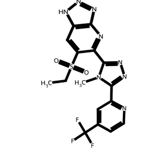 CCS(=O)(=O)c1cc2[nH]nnc2nc1-c1nnc(-c2cc(C(F)(F)F)ccn2)n1C